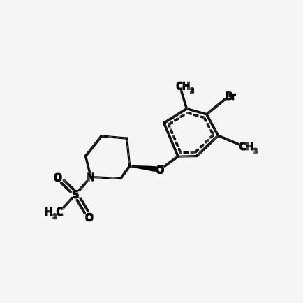 Cc1cc(O[C@@H]2CCCN(S(C)(=O)=O)C2)cc(C)c1Br